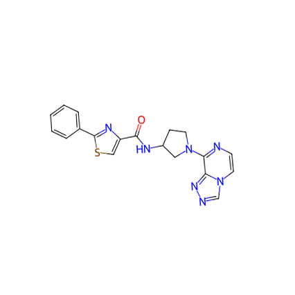 O=C(NC1CCN(c2nccn3cnnc23)C1)c1csc(-c2ccccc2)n1